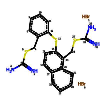 Br.Br.N=C(N)SCc1ccccc1Sc1ccc2ccccc2c1CSC(=N)N